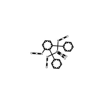 O=C=Nc1cccc(C(N=C=O)(N=C=O)c2ccccc2)c1C(N=C=O)(N=C=O)c1ccccc1